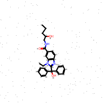 CCCC(O)CNC(=O)c1ccc2nc(C(O)(c3ccccc3)c3ccccc3)n(CC)c2c1